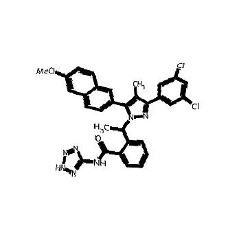 COc1ccc2cc(-c3c(C)c(-c4cc(Cl)cc(Cl)c4)nn3C(C)c3ccccc3C(=O)Nc3nn[nH]n3)ccc2c1